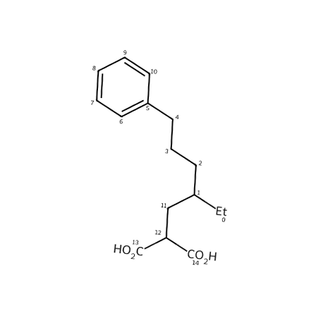 CCC(CCCc1ccccc1)CC(C(=O)O)C(=O)O